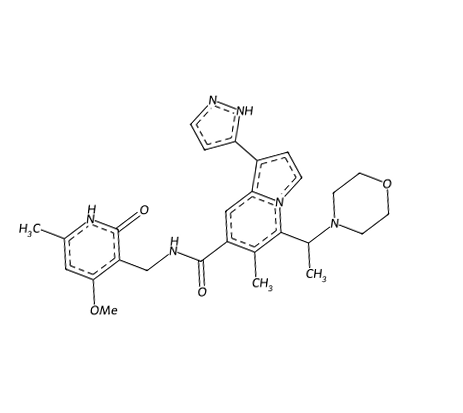 COc1cc(C)[nH]c(=O)c1CNC(=O)c1cc2c(-c3ccn[nH]3)ccn2c(C(C)N2CCOCC2)c1C